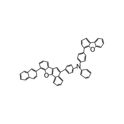 c1ccc(N(c2ccc(-c3cc4c5cccc(-c6ccc7ccccc7c6)c5oc4c4ccccc34)cc2)c2ccc(-c3cccc4c3oc3ccccc34)cc2)cc1